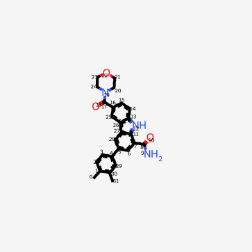 Cc1ccc(-c2cc(C(N)=O)c3[nH]c4ccc(C(=O)N5CCOCC5)cc4c3c2)cc1C